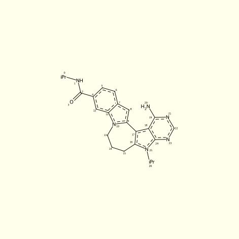 CC(C)NC(=O)c1ccc2cc3n(c2c1)CCCc1c-3c2c(N)ncnc2n1C(C)C